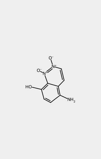 Nc1ccc(O)c2c1cc[n+]([O-])[n+]2[O-]